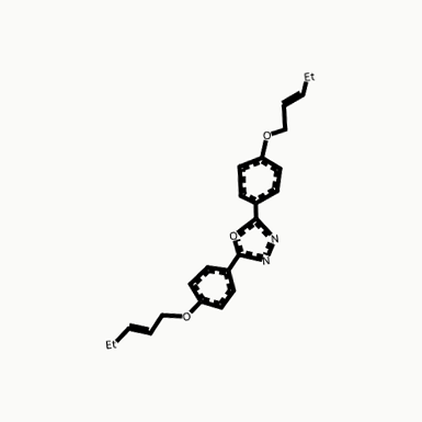 CC/C=C/COc1ccc(-c2nnc(-c3ccc(OC/C=C/CC)cc3)o2)cc1